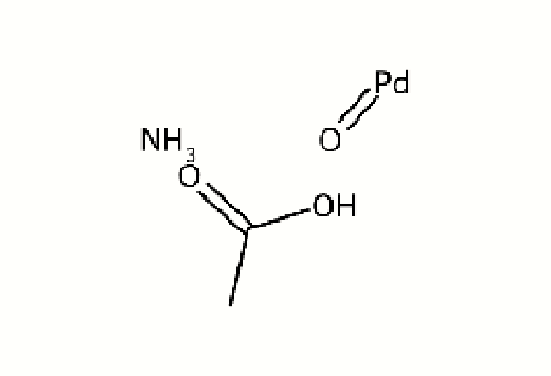 CC(=O)O.N.[O]=[Pd]